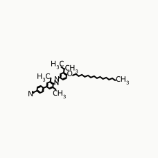 CCCCCCCCCCCCCCCCOc1ccc(/N=N/c2c(CC)cc(-c3ccc(C#N)cc3)cc2CC)cc1C(C)CC